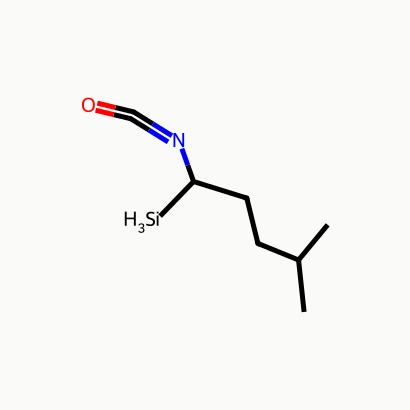 CC(C)CCC([SiH3])N=C=O